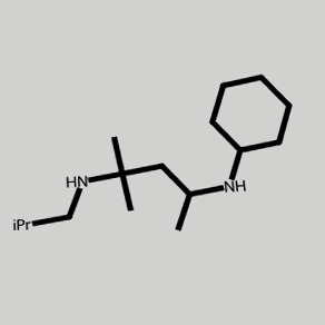 CC(C)CNC(C)(C)CC(C)NC1CCCCC1